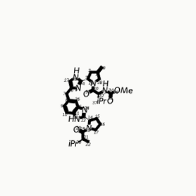 C=C1C[C@@H](c2nc(Cc3ccc4[nH]c([C@@H]5CCCN5C(=O)[C@@H](C)C(C)C)nc4c3)c[nH]2)N(C(=O)[C@@H](NC(=O)OC)C(C)C)C1